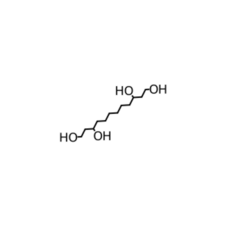 OCCC(O)CCCCCCC(O)CCO